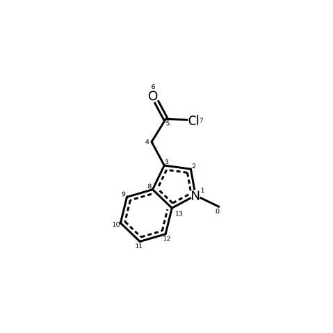 Cn1cc(CC(=O)Cl)c2ccccc21